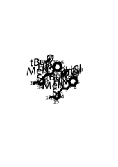 CNC(Cc1ccccc1NC(=O)C(C)(C)C)c1ccc(C)s1.CNC(Cc1ccccc1NC(=O)C(C)(C)C)c1ccc(C)s1.Cl.Cl.O